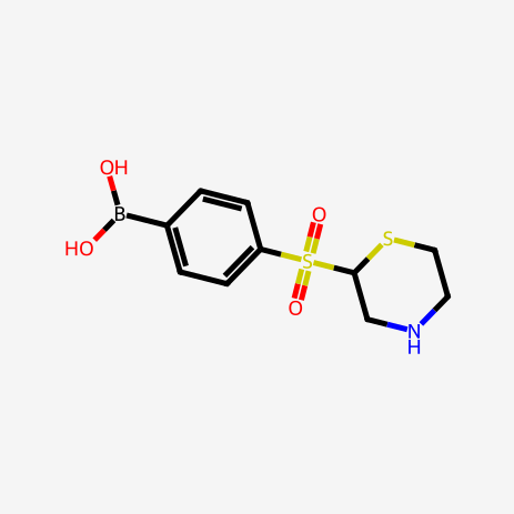 O=S(=O)(c1ccc(B(O)O)cc1)C1CNCCS1